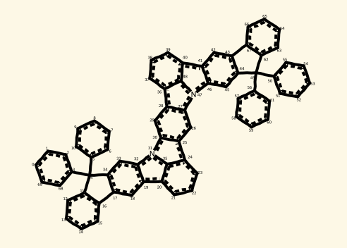 c1ccc(C2(c3ccccc3)c3ccccc3-c3cc4c5cccc6c7cc8c(cc7n(c4cc32)c56)c2cccc3c4cc5c(cc4n8c32)C(c2ccccc2)(c2ccccc2)c2ccccc2-5)cc1